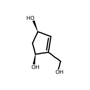 OCC1=C[C@H](O)C[C@@H]1O